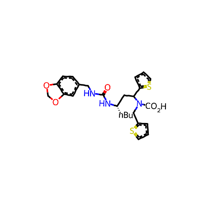 CCCC[C@@H](CC(c1cccs1)N(Cc1cccs1)C(=O)O)NC(=O)NCc1ccc2c(c1)OCO2